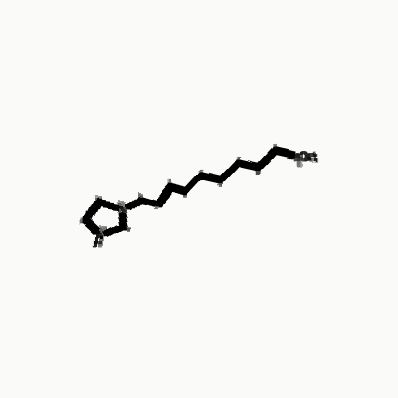 CCCCCCCCCCCCCCC=CCN1CCNC1